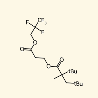 CC(C)(C)CC(C)(C(=O)OCCC(=O)OCC(F)(F)C(F)(F)F)C(C)(C)C